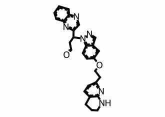 O=CCC(c1cnc2ccccc2n1)n1ncc2cc(OCCc3ccc4c(n3)NCCC4)ccc21